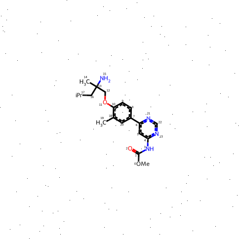 COC(=O)Nc1cc(-c2ccc(OCC(C)(N)CC(C)C)c(C)c2)ncn1